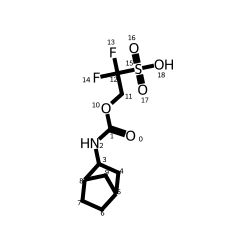 O=C(NC1CC2CCC1C2)OCC(F)(F)S(=O)(=O)O